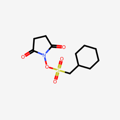 O=C1CCC(=O)N1OS(=O)(=O)CC1CCCCC1